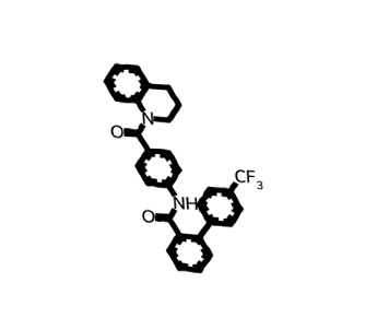 O=C(Nc1ccc(C(=O)N2CCCc3ccccc32)cc1)c1ccccc1-c1ccc(C(F)(F)F)cc1